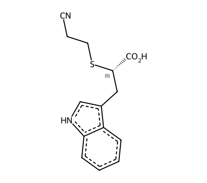 N#CCCS[C@@H](Cc1c[nH]c2ccccc12)C(=O)O